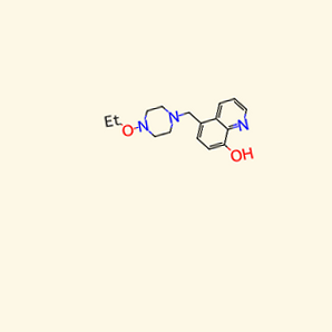 CCON1CCN(Cc2ccc(O)c3ncccc23)CC1